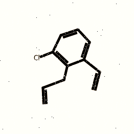 C=CCc1c(Cl)cccc1C=C